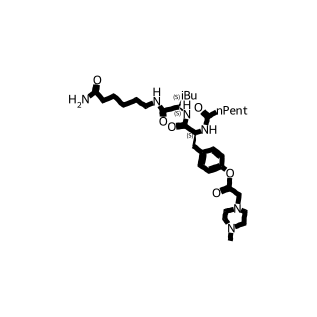 CCCCCC(=O)N[C@@H](Cc1ccc(OC(=O)CN2CCN(C)CC2)cc1)C(=O)N[C@H](C(=O)NCCCCCC(N)=O)[C@@H](C)CC